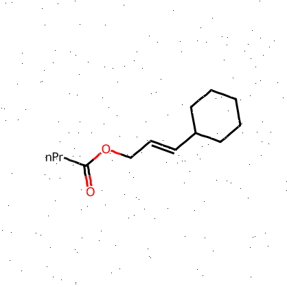 CCCC(=O)OCC=CC1CCCCC1